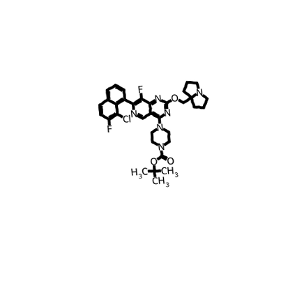 CC(C)(C)OC(=O)N1CCN(c2nc(OCC34CCCN3CCC4)nc3c(F)c(-c4cccc5ccc(F)c(Cl)c45)ncc23)CC1